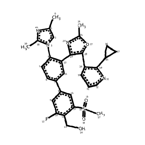 Cc1cn(-c2ccc(-c3cc(F)c(CO)c(S(C)(=O)=O)c3)cc2-c2nc(C)oc2-c2cccnc2C2CC2)c(C)n1